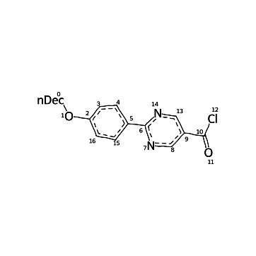 CCCCCCCCCCOc1ccc(-c2ncc(C(=O)Cl)cn2)cc1